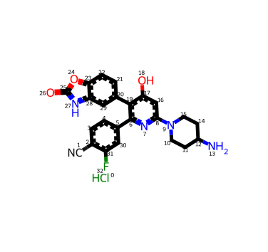 Cl.N#Cc1ccc(-c2nc(N3CCC(N)CC3)cc(O)c2-c2ccc3oc(=O)[nH]c3c2)cc1F